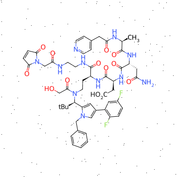 C[C@H](NC(=O)Cc1ccncc1)C(=O)N[C@H](CC(N)=O)C(=O)N[C@@H](CC(=O)O)C(=O)N[C@@H](CCN(C(=O)CO)[C@@H](c1cc(-c2cc(F)ccc2F)cn1Cc1ccccc1)C(C)(C)C)C(=O)NCCNC(=O)CN1C(=O)C=CC1=O